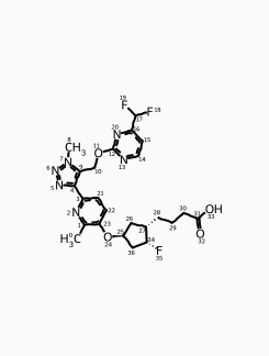 Cc1nc(-c2nnn(C)c2COc2nccc(C(F)F)n2)ccc1O[C@H]1C[C@H](CCCC(=O)O)[C@H](F)C1